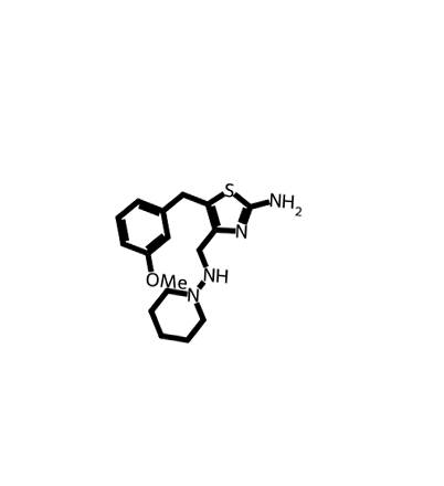 COc1cccc(Cc2sc(N)nc2CNN2CCCCC2)c1